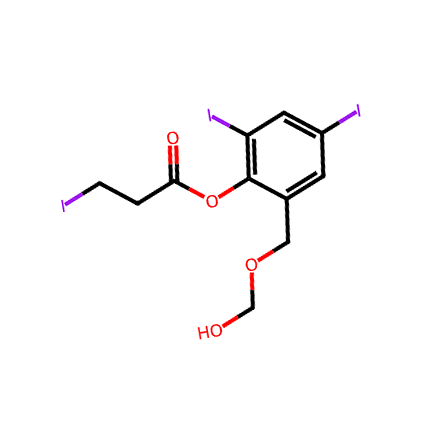 O=C(CCI)Oc1c(I)cc(I)cc1COCO